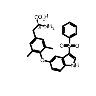 Cc1cc(C[C@H](N)C(=O)O)cc(C)c1Oc1ccc2[nH]cc(S(=O)(=O)c3ccccc3)c2c1